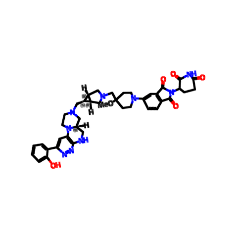 COC1(CN2C[C@@H]3[C@@H](CN4CCN5c6cc(-c7ccccc7O)nnc6NC[C@H]5C4)[C@@H]3C2)CCN(c2ccc3c(c2)C(=O)N(C2CCC(=O)NC2=O)C3=O)CC1